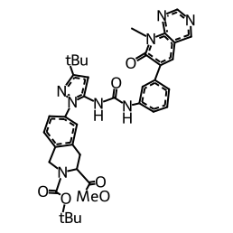 COC(=O)C1Cc2cc(-n3nc(C(C)(C)C)cc3NC(=O)Nc3cccc(-c4cc5cncnc5n(C)c4=O)c3)ccc2CN1C(=O)OC(C)(C)C